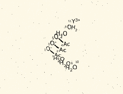 CC(=O)[O-].CC(=O)[O-].CC(=O)[O-].O.O.O.O.O.[Y+3]